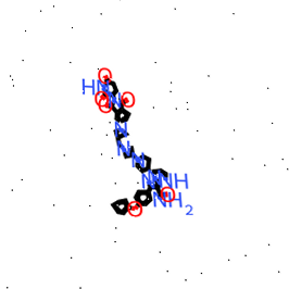 NC(=O)c1c(-c2ccc(Oc3ccccc3)cc2)nn2c1NCC[C@H]2C1CCN(C2CN(CC3CN(c4ccc5c(c4)C(=O)N(C4CCC(=O)NC4=O)C5=O)C3)C2)CC1